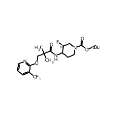 CC(C)(C)OC(=O)N1CCC(NC(=O)C(C)(C)COc2ncccc2C(F)(F)F)[C@@H](F)C1